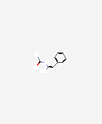 CCC(=O)NC([C]=O)=Cc1ccccc1